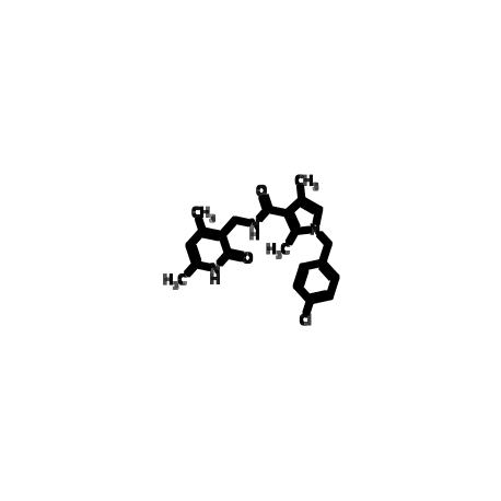 Cc1cc(C)c(CNC(=O)c2c(C)cn(Cc3ccc(Cl)cc3)c2C)c(=O)[nH]1